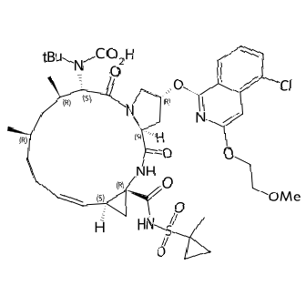 COCCOc1cc2c(Cl)cccc2c(O[C@@H]2C[C@H]3C(=O)N[C@]4(C(=O)NS(=O)(=O)C5(C)CC5)C[C@H]4C=CCC[C@@H](C)C[C@@H](C)[C@H](N(C(=O)O)C(C)(C)C)C(=O)N3C2)n1